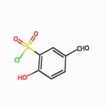 O=Cc1ccc(O)c(S(=O)(=O)Cl)c1